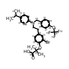 CC(C)c1ccc(N(CCc2ccc(OC(C)(C)C(=O)O)c(Br)c2)Cc2ccc(OC(F)(F)F)cc2)nc1